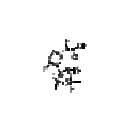 C[C@@]1(F)CC(F)(F)[C@@](C)(c2cc(NC(=O)O)ccc2F)NC1=S